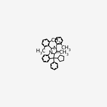 Cc1ccccc1N1C(c2c(C)cccc2C)N2c3ccccc3C(c3ccccc3)(C3CCCC3)C2[C@@H]1C